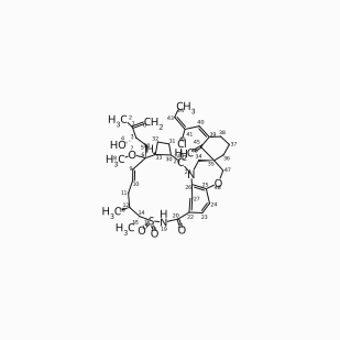 C=C(C)[C@@H](O)C[C@]1(OC)/C=C/C[C@H](C)[C@@H](C)S(=O)(=O)NC(=O)c2ccc3c(c2)N(C[C@@H]2CC[C@H]21)C[C@@]1(CCC/C(=C/C(Cl)=C\C)C1=C)CO3